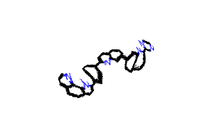 c1cnc2c(c1)ccc1ccc(-c3ccc(-c4ccc5ccc(-c6ccc7ccc(-c8cnccn8)nc7c6)cc5n4)cc3)nc12